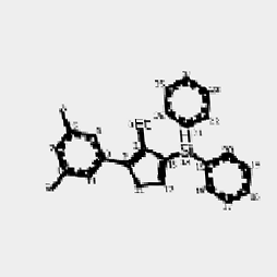 CCC1=C(c2cc(C)cc(C)c2)CC=C1[SiH](c1ccccc1)c1ccccc1